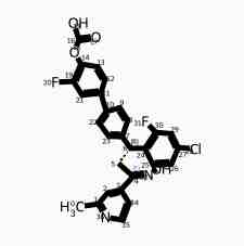 Cc1cc(/C(C[C@H](c2ccc(-c3ccc(OC(=O)O)c(F)c3)cc2)c2ccc(Cl)cc2F)=N/O)ccn1